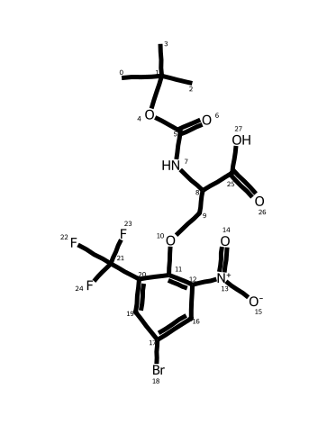 CC(C)(C)OC(=O)NC(COc1c([N+](=O)[O-])cc(Br)cc1C(F)(F)F)C(=O)O